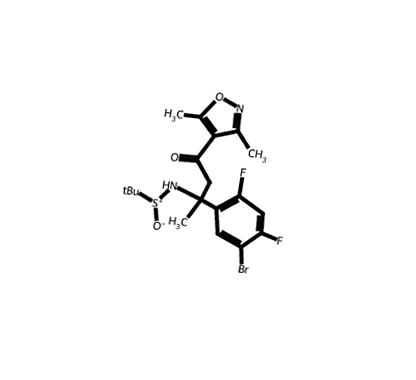 Cc1noc(C)c1C(=O)CC(C)(N[S+]([O-])C(C)(C)C)c1cc(Br)c(F)cc1F